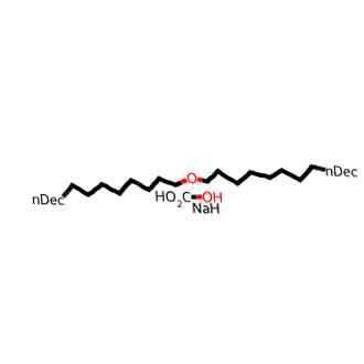 CCCCCCCCCCCCCCCCCCOCCCCCCCCCCCCCCCCCC.O=C(O)O.[NaH]